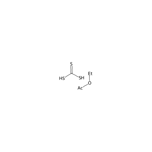 CCOC(C)=O.S=C(S)S